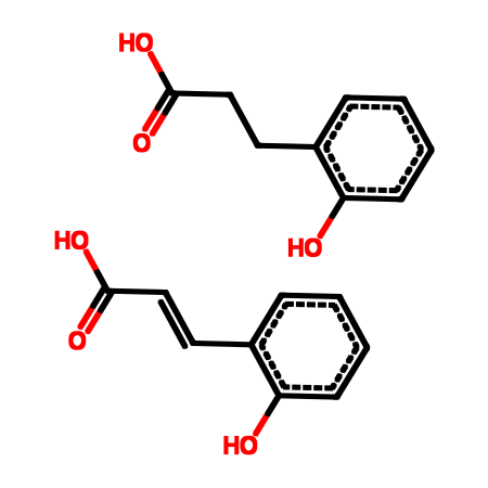 O=C(O)C=Cc1ccccc1O.O=C(O)CCc1ccccc1O